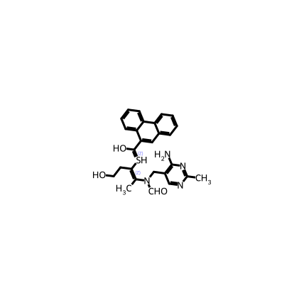 C/C(=C(CCO)/[SH]=C(\O)c1cc2ccccc2c2ccccc12)N(C=O)Cc1cnc(C)nc1N